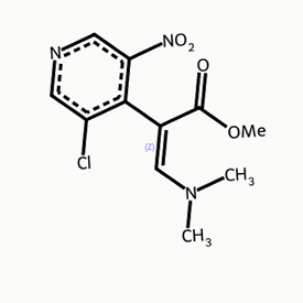 COC(=O)/C(=C\N(C)C)c1c(Cl)cncc1[N+](=O)[O-]